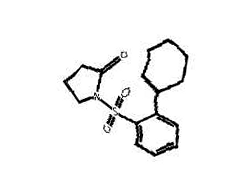 O=C1CCCN1S(=O)(=O)c1ccccc1C1CCCCC1